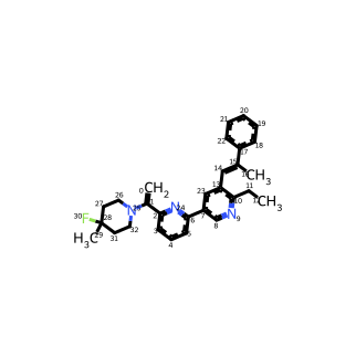 C=C(c1cccc(-c2cnc(CC)c(/C=C(\C)c3ccccc3)c2)n1)N1CCC(C)(F)CC1